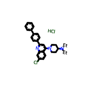 CCN(CC)C1CCN(c2cc(-c3ccc(-c4ccccc4)cc3)nc3cc(Cl)ccc23)CC1.Cl